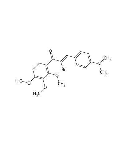 COc1ccc(C(=O)C(Br)=Cc2ccc(N(C)C)cc2)c(OC)c1OC